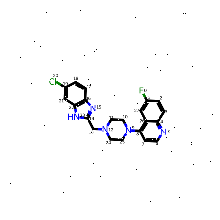 Fc1ccc2nccc(N3CCN(Cc4nc5ccc(Cl)cc5[nH]4)CC3)c2c1